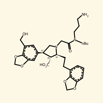 CCCCN(CCCN)C(=O)CN1C[C@H](c2cc(CO)c3c(c2)OCO3)[C@@H](C(=O)O)[C@@H]1CCc1cccc2c1OCO2